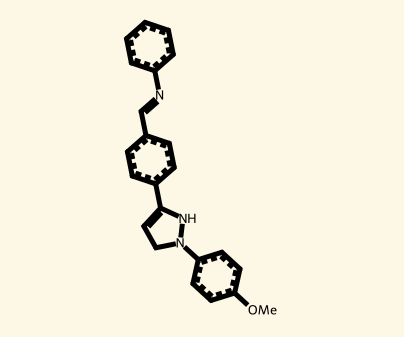 COc1ccc(N2CC=C(c3ccc(C=Nc4ccccc4)cc3)N2)cc1